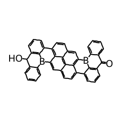 O=C1c2ccccc2B2c3c1cccc3-c1ccc3cc4c5c(ccc6cc2c1c3c65)-c1cccc2c1B4c1ccccc1C2O